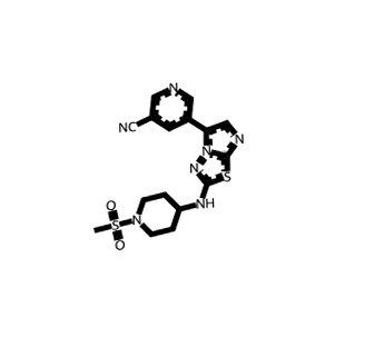 CS(=O)(=O)N1CCC(Nc2nn3c(-c4cncc(C#N)c4)cnc3s2)CC1